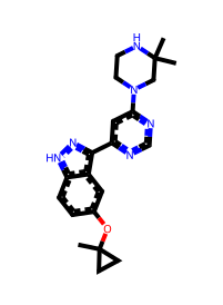 CC1(C)CN(c2cc(-c3n[nH]c4ccc(OC5(C)CC5)cc34)ncn2)CCN1